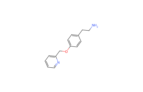 NCCc1ccc(OCc2ccccn2)cc1